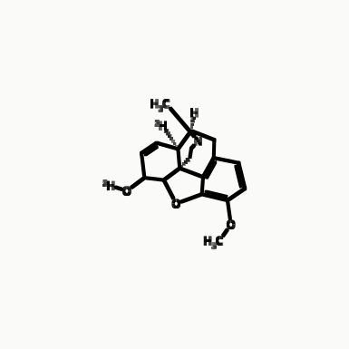 [2H]OC1C=C[C@@]2([2H])[C@H]3Cc4ccc(OC)c5c4[C@@]2(CCN3C)C1O5